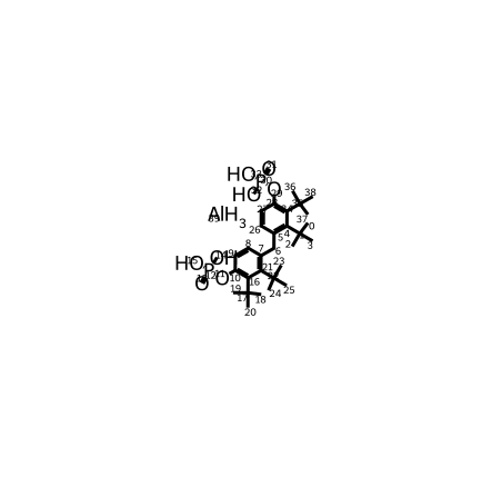 CC(C)(C)c1c(Cc2ccc(OP(=O)(O)O)c(C(C)(C)C)c2C(C)(C)C)ccc(OP(=O)(O)O)c1C(C)(C)C.[AlH3]